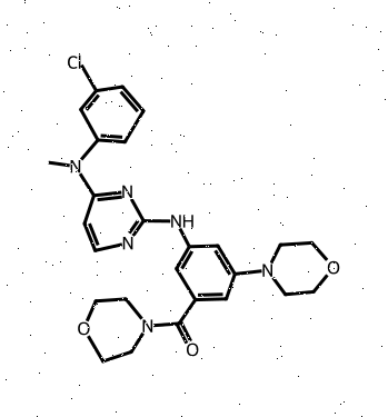 CN(c1cccc(Cl)c1)c1ccnc(Nc2cc(C(=O)N3CCOCC3)cc(N3CCOCC3)c2)n1